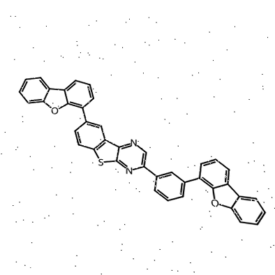 c1cc(-c2cnc3c(n2)sc2ccc(-c4cccc5c4oc4ccccc45)cc23)cc(-c2cccc3c2oc2ccccc23)c1